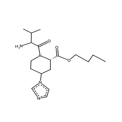 CCCCOC(=O)[C@@H]1CC(n2ccnc2)CCN1C(=O)C(N)C(C)C